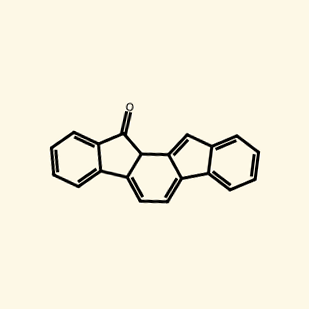 O=C1c2ccccc2C2=CC=C3C(=Cc4ccccc43)C12